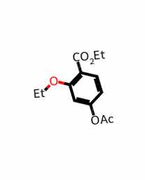 CCOC(=O)c1ccc(OC(C)=O)cc1OCC